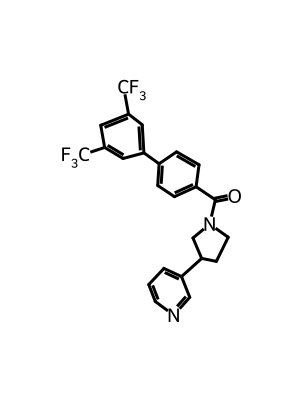 O=C(c1ccc(-c2cc(C(F)(F)F)cc(C(F)(F)F)c2)cc1)N1CCC(c2cccnc2)C1